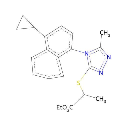 CCOC(=O)C(C)Sc1nnc(C)n1-c1ccc(C2CC2)c2ccccc12